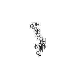 CC1(C)C2CC[C@]3(C)C(CC[C@@H]4[C@H]5CCC[C@]5(C(=O)N5CCC[C@H]5c5nc(-c6cccc(F)c6)cn5CCN5CCCC5)CC[C@]43C)[C@@]2(C)CC[C@@H]1OC(=O)[C@H]1C[C@@H](C(=O)O)C1(C)C